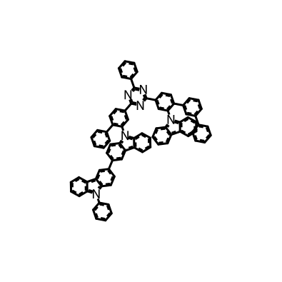 c1ccc(-c2cccc(-c3ccc(-c4nc(-c5ccccc5)nc(-c5ccc(-c6ccccc6)c(-n6c7ccccc7c7cc(-c8ccc9c(c8)c8ccccc8n9-c8ccccc8)ccc76)c5)n4)cc3-n3c4ccccc4c4ccccc43)c2)cc1